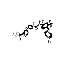 CNc1cc(Oc2ccc(NC(=O)Nc3ccc(CN4CCNCC4)c(C(F)(F)F)c3)cc2)ncn1